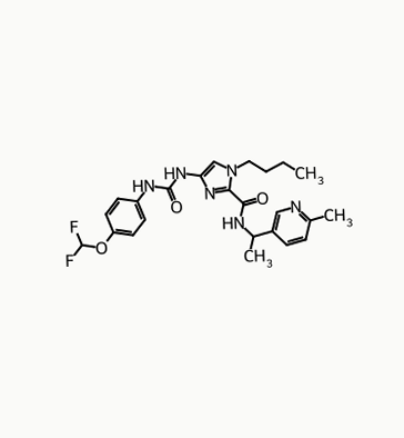 CCCCn1cc(NC(=O)Nc2ccc(OC(F)F)cc2)nc1C(=O)NC(C)c1ccc(C)nc1